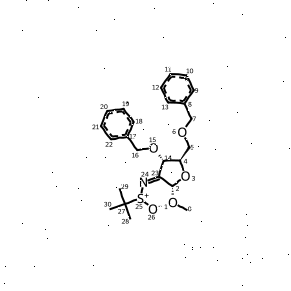 CO[C@H]1O[C@H](COCc2ccccc2)[C@@H](OCc2ccccc2)/C1=N/[S+]([O-])C(C)(C)C